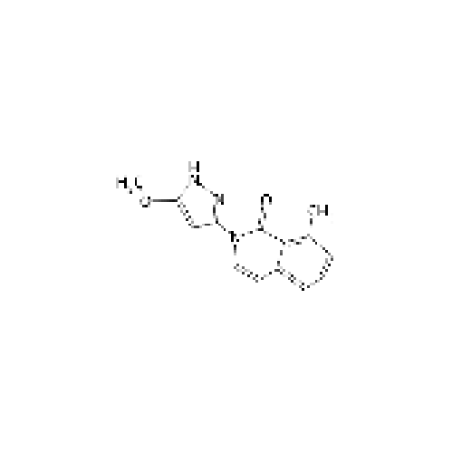 COc1cc(-n2ccc3cccc(C)c3c2=O)n[nH]1